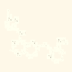 Cn1ccc(Nc2ncnc3ccc(Sc4ncccc4N)nc23)n1